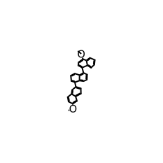 COc1ccc2cc(-c3cccc4c(-c5ccc(OC)c6ccccc56)cccc34)ccc2c1